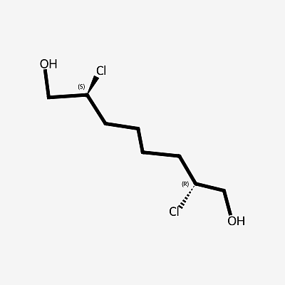 OC[C@@H](Cl)CCCC[C@@H](Cl)CO